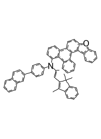 CC1=C(/C=C(\C)N(c2ccc(-c3ccc4ccccc4c3)cc2)c2cccc3c4ccc5oc6ccccc6c5c4c4ccccc4c23)C(C)(C)c2ccccc21